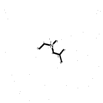 CCN(C)CC(C)C